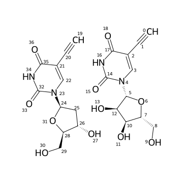 C#Cc1cn([C@@H]2O[C@H](CO)[C@@H](O)[C@H]2O)c(=O)[nH]c1=O.C#Cc1cn([C@H]2C[C@H](O)[C@@H](CO)O2)c(=O)[nH]c1=O